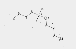 [Li][CH2]CCO[Si](C)(C)CCCC